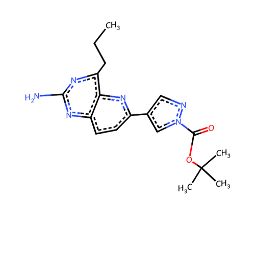 CCCc1nc(N)nc2ccc(-c3cnn(C(=O)OC(C)(C)C)c3)nc12